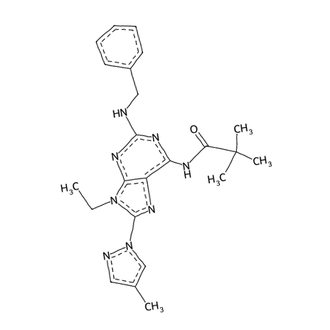 CCn1c(-n2cc(C)cn2)nc2c(NC(=O)C(C)(C)C)nc(NCc3ccccc3)nc21